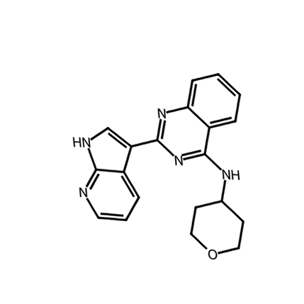 c1ccc2c(NC3CCOCC3)nc(-c3c[nH]c4ncccc34)nc2c1